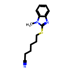 Cn1c(SCCCCCC#N)nc2ccccc21